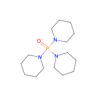 O=P(N1CCCCC1)(N1CCCCC1)N1CCCCC1